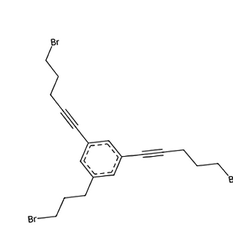 BrCCCC#Cc1cc(C#CCCCBr)cc(CCCBr)c1